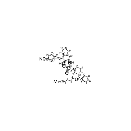 COCCCCO[C@@H](c1ccccc1)C1CCCN(c2c(N[C@@H](CC3CCCCC3)[C@H](O)CNCc3ccc(C#N)cc3)c(=O)c2=O)C1